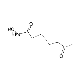 CC(=O)CCCCC(=O)NO